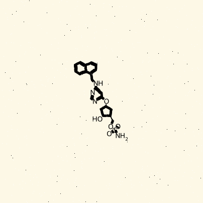 NS(=O)(=O)OC[C@@H]1C[C@@H](Oc2cc(NCc3cccc4ccccc34)ncn2)C[C@@H]1O